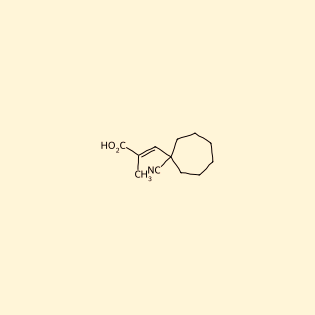 CC(=CC1(C#N)CCCCCC1)C(=O)O